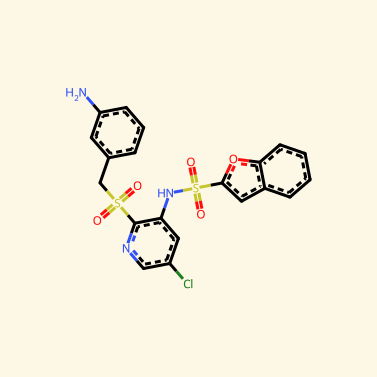 Nc1cccc(CS(=O)(=O)c2ncc(Cl)cc2NS(=O)(=O)c2cc3ccccc3o2)c1